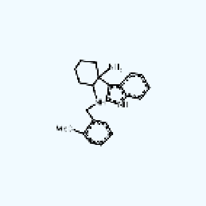 COc1ccccc1CNC1CCCCC1(N)c1c[nH]c2ccccc12